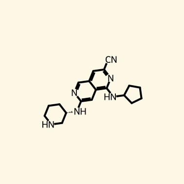 N#Cc1cc2cnc(N[C@H]3CCCNC3)cc2c(NC2CCCC2)n1